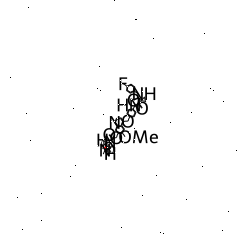 COc1cc2c(Oc3ccc(NC(=O)C4(C(=O)Nc5ccc(F)cc5)CC4)cc3)ccnc2cc1OC(=O)N1C[C@H]2C[C@@H]1CN2C